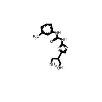 NCC(CO)c1cnc(NC(=O)Nc2cccc(C(F)(F)F)c2)s1